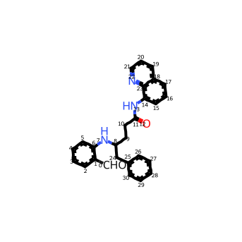 O=Cc1ccccc1NC(CCC(=O)Nc1cccc2cccnc12)Cc1ccccc1